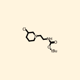 CC(C)(C)OC(=O)NCCN1CCCC(Cl)C1